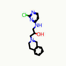 OC(CNc1ccnc(Cl)n1)CN1CCc2ccccc2C1